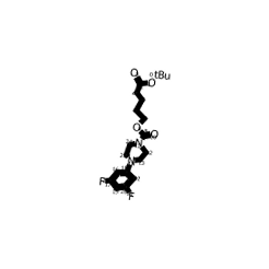 CC(C)(C)OC(=O)CCCCOC(=O)N1CCN(c2cc(F)cc(F)c2)CC1